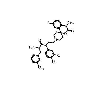 CN(Cc1cccc(C(F)(F)F)c1)C(=O)C(CCN1CCC2(CC1)OC(=O)N(C)c1ccc(F)cc12)c1ccc(Cl)c(Cl)c1